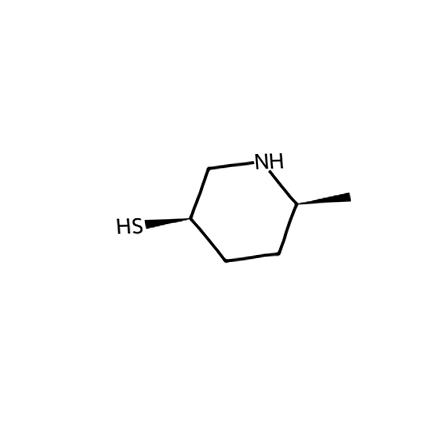 C[C@H]1CC[C@@H](S)CN1